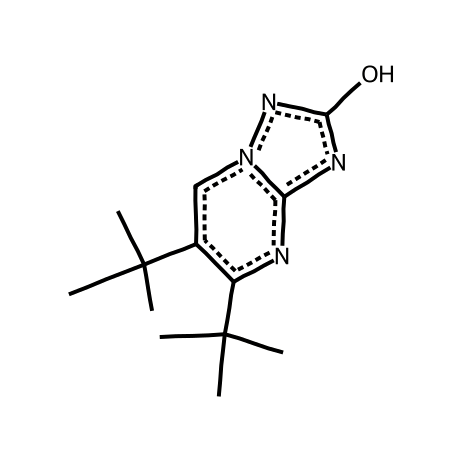 CC(C)(C)c1cn2nc(O)nc2nc1C(C)(C)C